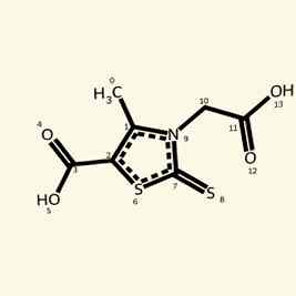 Cc1c(C(=O)O)sc(=S)n1CC(=O)O